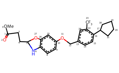 COC(=O)CCC1Nc2ccc(OCc3ccc(C4CCCC4)c(C(F)(F)F)c3)cc2O1